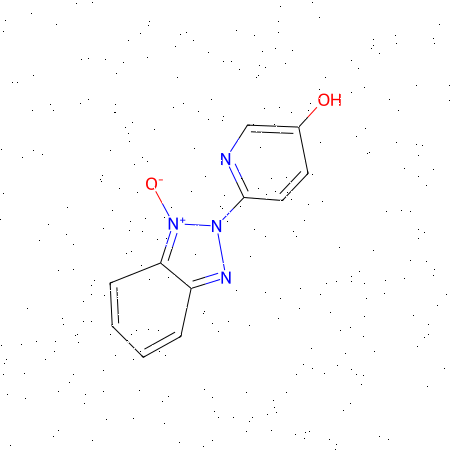 [O-][n+]1c2ccccc2nn1-c1ccc(O)cn1